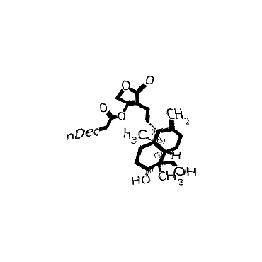 C=C1CC[C@@H]2[C@](C)(CO)[C@H](O)CC[C@@]2(C)[C@@H]1CCC1=C(OC(=O)CCCCCCCCCCC)COC1=O